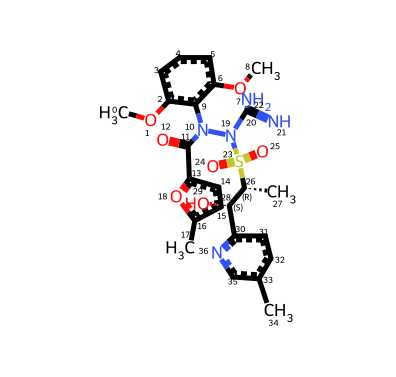 COc1cccc(OC)c1N(C(=O)c1ccc(C)o1)N(C(=N)N)S(=O)(=O)[C@H](C)[C@@H](O)c1ccc(C)cn1